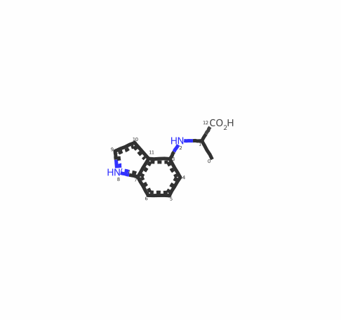 CC(Nc1cccc2[nH]ccc12)C(=O)O